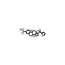 C[C@]12CC[C@@H]3c4ccc(C(=O)O)cc4CC[C@H]3[C@@H]1CC[C@@H]2C(=O)c1cccs1